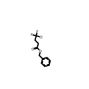 O=C(CCC(F)(F)Cl)OCc1ccccc1